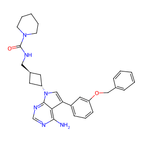 Nc1ncnc2c1c(-c1cccc(OCc3ccccc3)c1)cn2[C@H]1C[C@H](CNC(=O)N2CCCCC2)C1